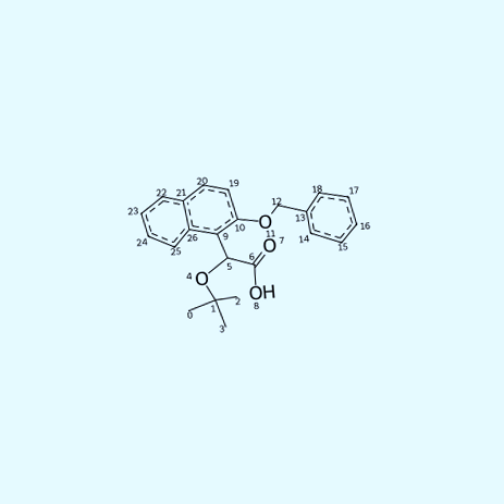 CC(C)(C)OC(C(=O)O)c1c(OCc2ccccc2)ccc2ccccc12